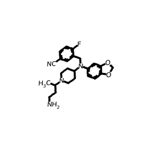 CC(CCN)N1CCC(N(Cc2cc(C#N)ccc2F)c2ccc3c(c2)OCO3)CC1